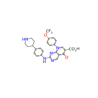 O=C(O)c1cn(-c2ccc(OC(F)(F)F)cc2)c2nc(Nc3ccc(C4CCNCC4)cc3)ncc2c1=O